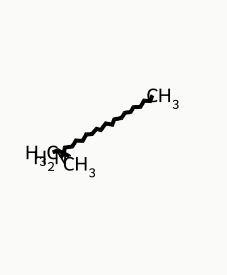 CCCCCCCCCCCCCCCCCCCC(N)(CC)CC